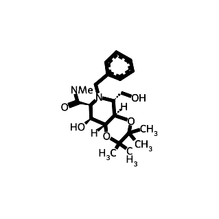 CNC(=O)[C@@H]1[C@H](O)[C@H]2OC(C)(C)C(C)(C)O[C@@H]2[C@@H](CO)N1Cc1ccccc1